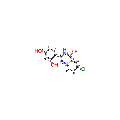 O=c1[nH]c(-c2ccc(O)cc2O)nc2ccc(Cl)cc12